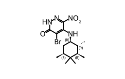 C[C@@H]1[C@@H](C)C(C)(C)[C@@H](C)C[C@H]1Nc1c([N+](=O)[O-])n[nH]c(=O)c1Br